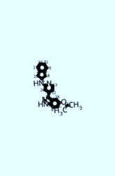 CC(C)Oc1ccc2[nH]nc(-c3ccnc(NC4Cc5ccccc5C4)c3)c2c1